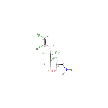 CN(C)CC(C)(C)C(C)(O)C(F)(F)C(F)(F)OC(F)=C(F)F